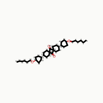 CCCCCCO[C@H]1CC[C@H](C2CCC3(CC2)C(=O)C2(CCC([C@H]4CC[C@H](OCCCCCC)CC4)CC2)C3=O)CC1